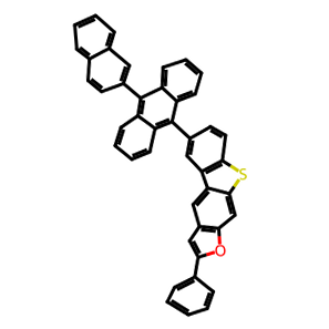 c1ccc(-c2cc3cc4c(cc3o2)sc2ccc(-c3c5ccccc5c(-c5ccc6ccccc6c5)c5ccccc35)cc24)cc1